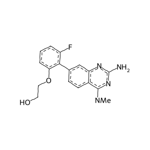 CNc1nc(N)nc2cc(-c3c(F)cccc3OCCO)ccc12